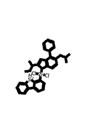 CCC(C)C1=Cc2c(ccc(CC(C)C)c2-c2ccccc2)[CH]1[Zr]([Cl])([Cl])[c]1cccc2c1[SiH2]c1ccccc1-2